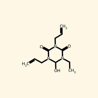 C=CCN1C(=O)N(CC)C(O)N(CC=C)C1=O